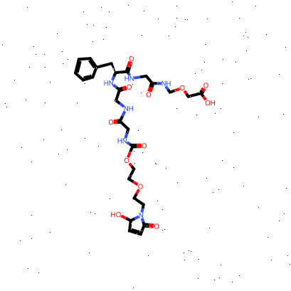 O=C(O)COCNC(=O)CNC(=O)[C@H](Cc1ccccc1)NC(=O)CNC(=O)CNC(=O)OCCOCCN1C(=O)C=CC1O